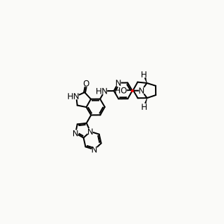 O=C1NCc2c(-c3cnc4cnccn34)ccc(Nc3ccc(N4[C@@H]5CC[C@H]4C[C@H](O)C5)cn3)c21